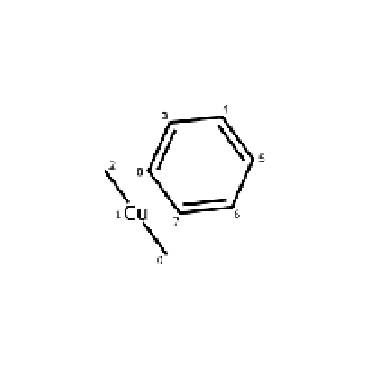 [CH3][Cu][CH3].c1ccccc1